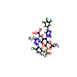 CC(=O)OC[C@H]1O[C@@H](c2nc(C)nn2-c2cc(Cl)ccc2Cl)[C@H](OCC(=O)O)[C@@H](n2cc(-c3cc(F)c(F)c(F)c3)nn2)[C@H]1OC(C)=O